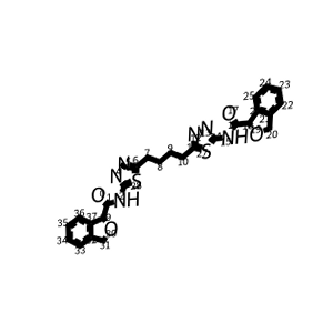 O=C(Nc1nnc(CCCCc2nnc(NC(=O)C3OCc4ccccc43)s2)s1)C1OCc2ccccc21